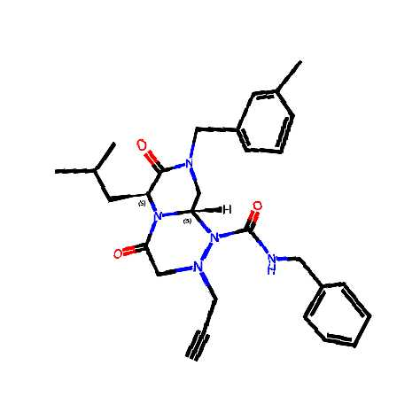 C#CCN1CC(=O)N2[C@@H](CC(C)C)C(=O)N(Cc3cccc(C)c3)C[C@@H]2N1C(=O)NCc1ccccc1